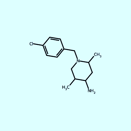 CC1CN(Cc2ccc(Cl)cc2)C(C)CC1N